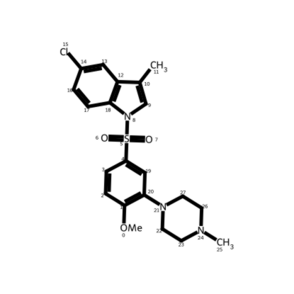 COc1ccc(S(=O)(=O)n2cc(C)c3cc(Cl)ccc32)cc1N1CCN(C)CC1